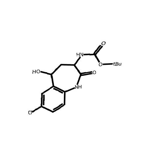 CC(C)(C)OC(=O)NC1CC(O)c2cc(Cl)ccc2NC1=O